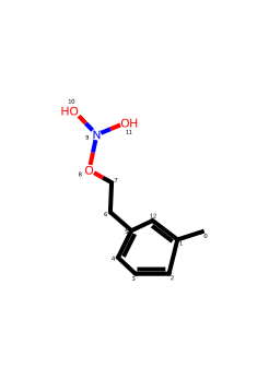 Cc1cccc(CCON(O)O)c1